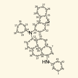 c1ccc(Nc2ccc3ccc4c(N(c5ccccc5)c5ccc6sc7ccccc7c6c5)ccc5ccc2c3c54)cc1